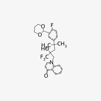 CC(C)(CC(O)(Cn1ccc(=O)c2ccccc21)C(F)(F)F)c1ccc(F)c(C2OCCCO2)c1